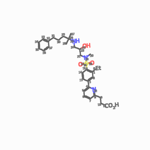 CCc1cc(-c2cccc(CCC(=O)O)n2)ccc1S(=O)(=O)N(C)CC(O)CNC(C)(C)CCCc1ccccc1